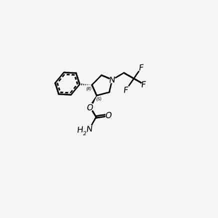 NC(=O)O[C@@H]1CN(CC(F)(F)F)C[C@H]1c1ccccc1